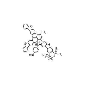 Cc1cc(-c2cc3sc4cc5c(cc4c3cc2Nc2ccc(C(C)(C)C)cc2)C(C)(C)CCC5(C)C)c2c3c1c1cc4oc5ccccc5c4cc1n3-c1cc3sc4ccccc4c3cc1B2